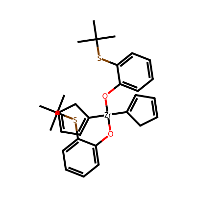 CC(C)(C)Sc1ccccc1[O][Zr]([O]c1ccccc1SC(C)(C)C)([C]1=CC=CC1)[C]1=CC=CC1